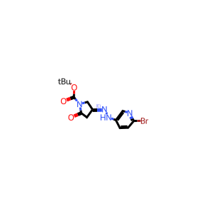 CC(C)(C)OC(=O)N1C/C(=N/Nc2ccc(Br)nc2)CC1=O